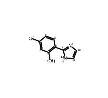 Oc1cc(Cl)ccc1-c1ncc[nH]1